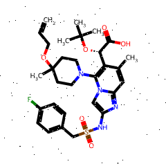 C=CCOC1(C)CCN(c2c([C@H](OC(C)(C)C)C(=O)O)c(C)cc3nc(NS(=O)(=O)Cc4ccc(F)cc4)cn23)CC1